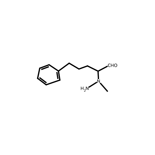 CN(N)C(C=O)CCCc1ccccc1